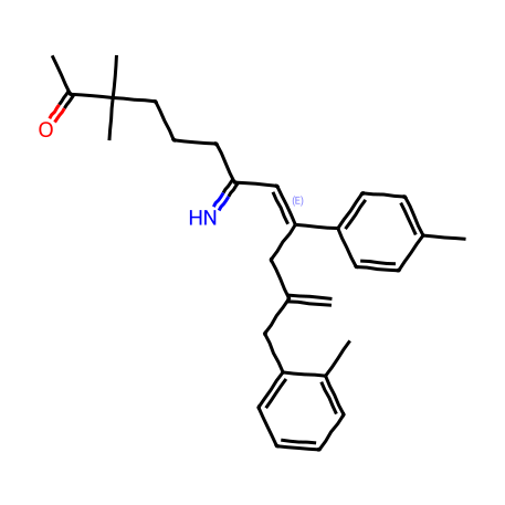 C=C(C/C(=C\C(=N)CCCC(C)(C)C(C)=O)c1ccc(C)cc1)Cc1ccccc1C